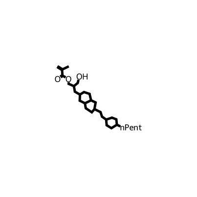 C=C(C)C(=O)OCC(CO)CC1CCC2CC(CCC3CCC(CCCCC)CC3)CCC2C1